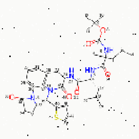 CCCC(C)(NC(=O)OC(C)(C)C)C(=O)N[C@H](CC(C)C)C(=O)NC1Cc2cccc(N3CCCC3=O)c2N(Cc2cccs2)C1=O